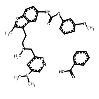 COc1cccc(OC(=O)Nc2ccc3sc(C)c(CCN(C)Cc4cc(N(C)C)cnn4)c3c2)c1.O=C(O)c1ccccc1